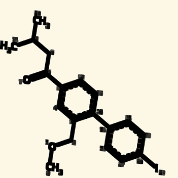 COCc1cc(C(=O)CC(C)C)ccc1-c1ccc(I)cc1